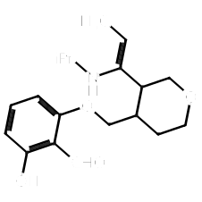 C/C=C(\NC(C)C)C1COCCC1COc1cccc(O)c1C=O